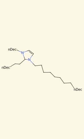 CCCCCCCCCCCCCCCCCCN1C=CN(CCCCCCCCCC)C1CCCCCCCCCCCC